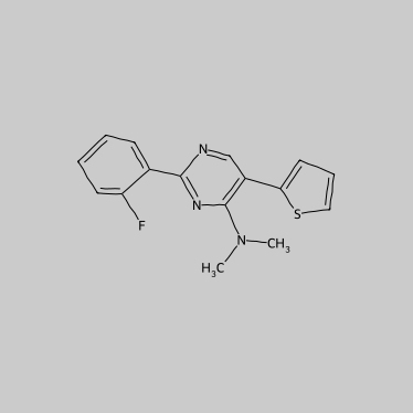 CN(C)c1nc(-c2ccccc2F)ncc1-c1cccs1